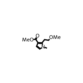 COCCc1c(C(=O)OC)ccn1C